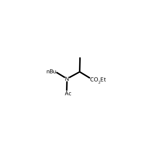 CCCCN(C(C)=O)C(C)C(=O)OCC